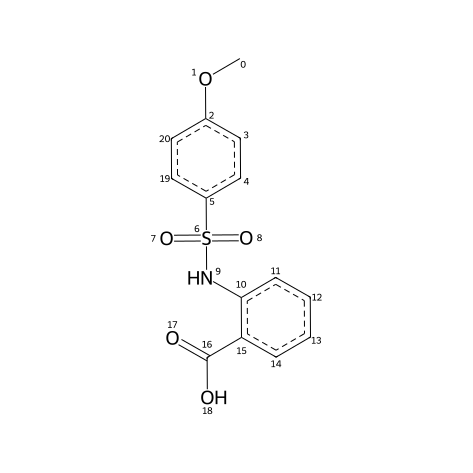 COc1ccc(S(=O)(=O)Nc2ccccc2C(=O)O)cc1